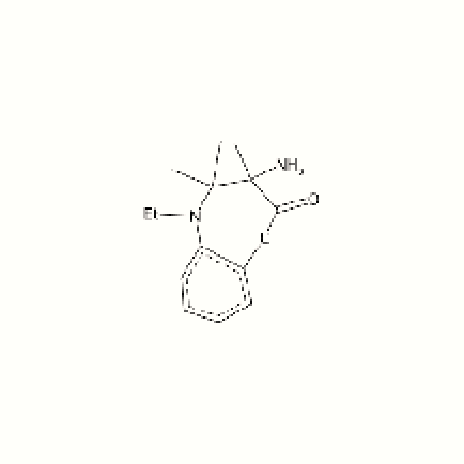 CCN1c2ccccc2CC(=O)C(C)(N)C1(C)C